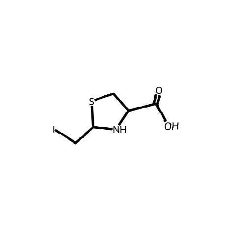 O=C(O)C1CSC(CI)N1